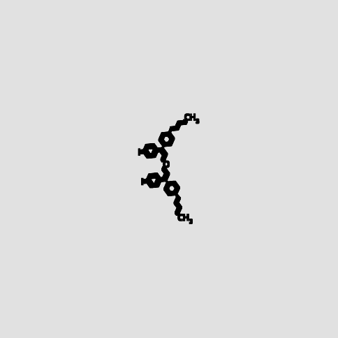 CCCCC[C@H]1CC[C@H](C(=CCOCC=C(c2ccc(I)cc2)[C@H]2CC[C@H](CCCCC)CC2)c2ccc(I)cc2)CC1